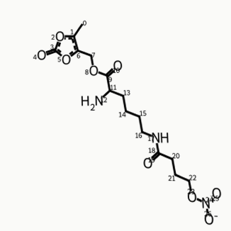 Cc1oc(=O)oc1COC(=O)C(N)CCCCNC(=O)CCCO[N+](=O)[O-]